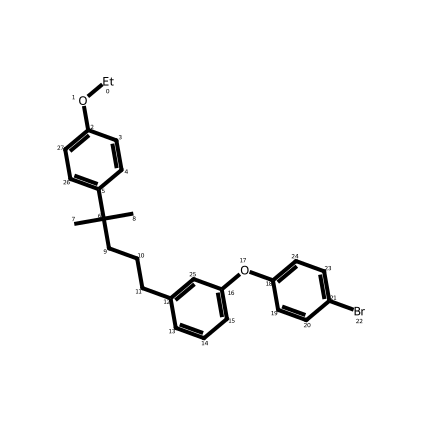 CCOc1ccc(C(C)(C)CCCc2cccc(Oc3ccc(Br)cc3)c2)cc1